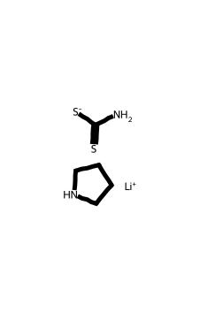 C1CCNC1.NC(=S)[S-].[Li+]